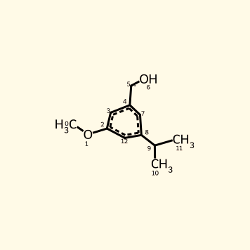 COc1cc([CH]O)cc(C(C)C)c1